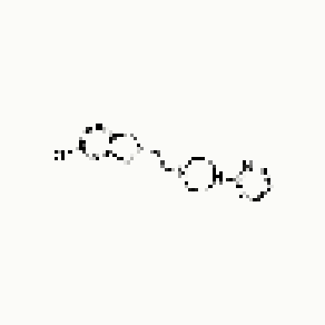 Clc1ccc2c(c1)CC(CCN1CCN(c3ccccn3)CC1)C2